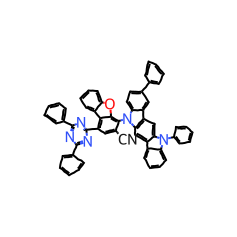 N#Cc1cc(-c2nc(-c3ccccc3)nc(-c3ccccc3)n2)c2c(oc3ccccc32)c1-n1c2ccc(-c3ccccc3)cc2c2cc3c(cc21)c1ccccc1n3-c1ccccc1